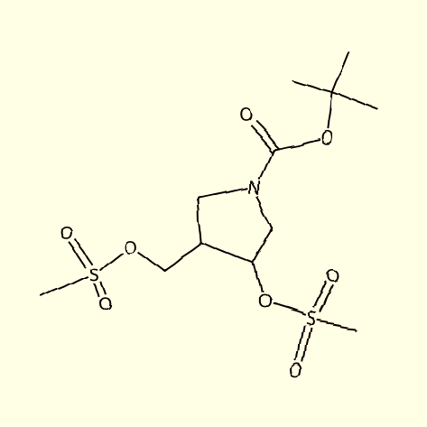 CC(C)(C)OC(=O)N1CC(COS(C)(=O)=O)C(OS(C)(=O)=O)C1